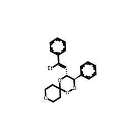 CC/C(=C\[C@H]1OC2(CCOCC2)OO[C@@H]1c1ccccc1)c1ccccc1